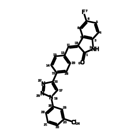 O=C1Nc2ccc(F)cc2C1=Cc1ccc(-c2cn(-c3cccc(Cl)c3)nn2)cc1